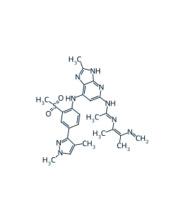 C=N/C(C)=C(C)\N=C(/C)Nc1cc(Nc2ccc(-c3nn(C)cc3C)cc2S(C)(=O)=O)c2nc(C)[nH]c2n1